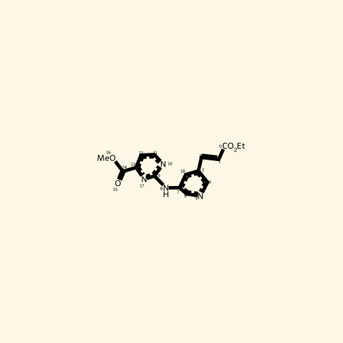 CCOC(=O)/C=C/c1cncc(Nc2nccc(C(=O)OC)n2)c1